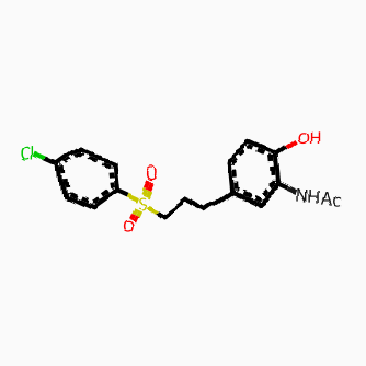 CC(=O)Nc1cc(CCCS(=O)(=O)c2ccc(Cl)cc2)ccc1O